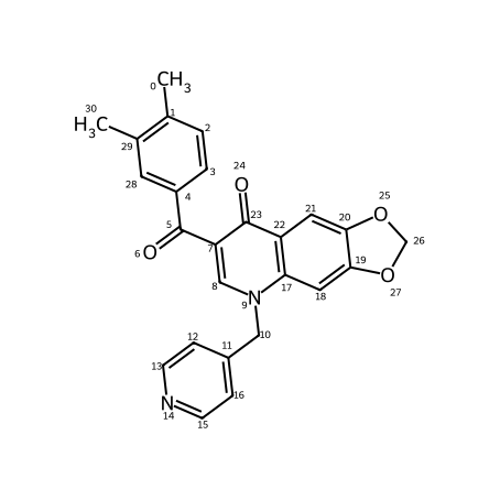 Cc1ccc(C(=O)c2cn(Cc3ccncc3)c3cc4c(cc3c2=O)OCO4)cc1C